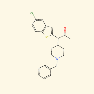 CC(=O)C(c1cc2cc(Cl)ccc2s1)C1CCN(Cc2ccccc2)CC1